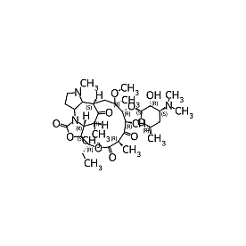 CC[C@H]1OC(=O)[C@H](C)C(=O)[C@H](C)[C@@H](O[C@@H]2O[C@H](C)C[C@H](N(C)C)[C@H]2O)[C@](C)(OC)C[C@@H]2C(=O)[C@H](C)[C@H]3N(C(=O)O[C@]13C)C1CCN(C)C12